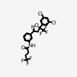 O=C(CCC(F)(F)F)Nc1cccc(C2=NOC(c3cc(Cl)cc(Cl)c3)(C(F)(F)F)C2)c1